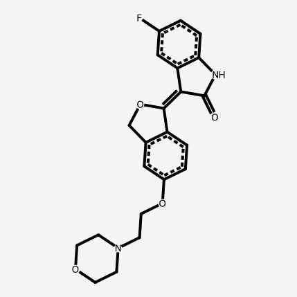 O=C1Nc2ccc(F)cc2C1=C1OCc2cc(OCCN3CCOCC3)ccc21